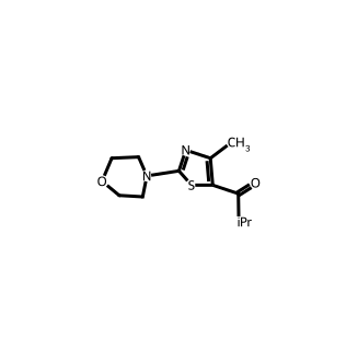 Cc1nc(N2CCOCC2)sc1C(=O)C(C)C